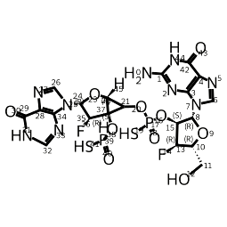 Nc1nc2c(ncn2[C@@H]2O[C@H](CO)[C@@H](F)[C@H]2OP(=O)(S)OC2[C@H]3O[C@@H](n4cnc5c(=O)[nH]cnc54)[C@H](F)[C@@]23O[PH](=O)S)c(=O)[nH]1